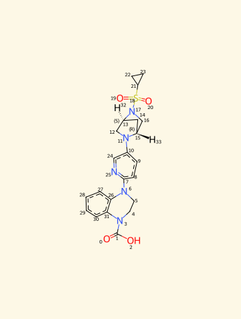 O=C(O)N1CCN(c2ccc(N3C[C@@H]4C[C@@H]3CN4S(=O)(=O)C3CC3)cn2)c2ccccc21